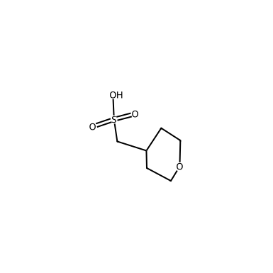 O=S(=O)(O)CC1CCOCC1